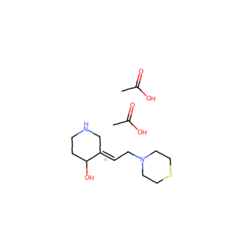 CC(=O)O.CC(=O)O.OC1CCNC/C1=C\CN1CCSCC1